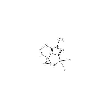 Cn1nc(C(F)(F)F)c2c1CCCC21CC1